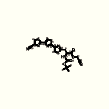 CC(C)(C)OC(=O)N[C@@H](Cc1nc(-c2nc(-c3nc(C#N)cs3)cs2)cs1)C(=O)OCC#N